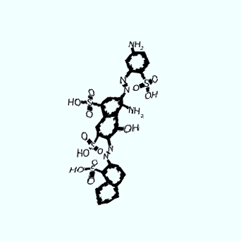 Nc1ccc(S(=O)(=O)O)c(N=Nc2cc(S(=O)(=O)O)c3cc(S(=O)(=O)O)c(N=Nc4ccc5ccccc5c4S(=O)(=O)O)c(O)c3c2N)c1